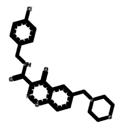 O=C(NCc1ccc(Cl)cc1)c1noc2ccc(CN3CCOCC3)cc2c1=O